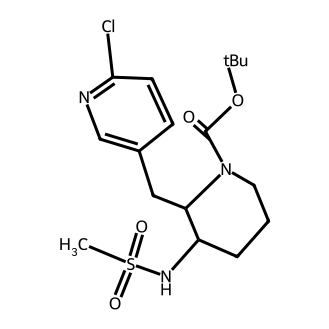 CC(C)(C)OC(=O)N1CCCC(NS(C)(=O)=O)C1Cc1ccc(Cl)nc1